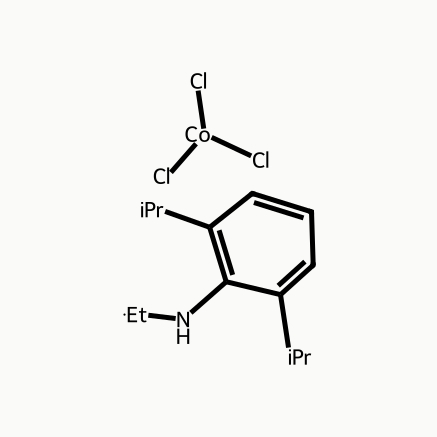 C[CH]Nc1c(C(C)C)cccc1C(C)C.[Cl][Co]([Cl])[Cl]